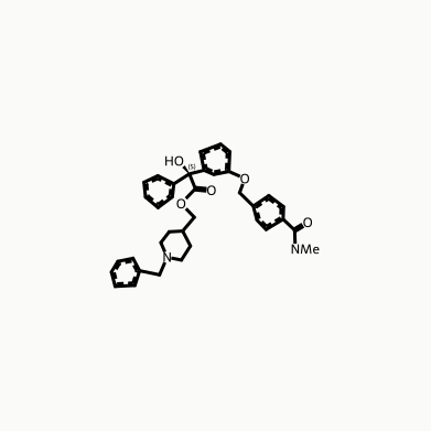 CNC(=O)c1ccc(COc2cccc([C@](O)(C(=O)OCC3CCN(Cc4ccccc4)CC3)c3ccccc3)c2)cc1